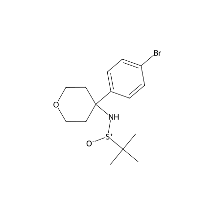 CC(C)(C)[S+]([O-])NC1(c2ccc(Br)cc2)CCOCC1